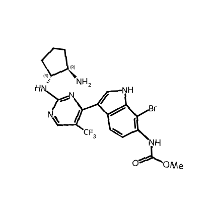 COC(=O)Nc1ccc2c(-c3nc(N[C@@H]4CCC[C@H]4N)ncc3C(F)(F)F)c[nH]c2c1Br